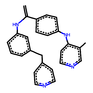 C=C(Nc1cccc(Cc2ccncc2)c1)c1ccc(Nc2ccncc2C)cc1